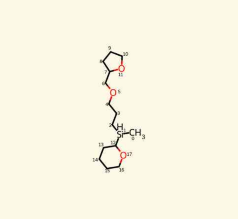 C[SiH](CCCOCC1CCCO1)C1CCCCO1